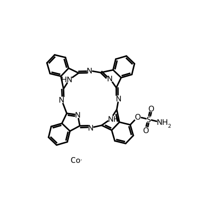 NS(=O)(=O)Oc1cccc2c3nc4nc(nc5[nH]c(nc6nc(nc([nH]3)c12)-c1ccccc1-6)c1ccccc51)-c1ccccc1-4.[Co]